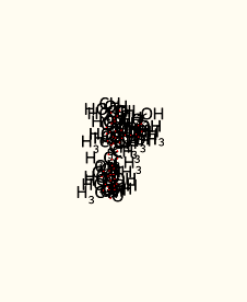 CCC(OC(O)C(O)C(OC(O)C(O)C(O)C(C)O)C(CC)OC(C)=O)/C(O)=C(\OC1OC(C)C(OC(O)/C(O)=C(\OC(O)/C(O)=C(\O)C(O)CCO)C(C)O)C(O)C1O)C(O)OC(=O)[C@]12CCC(C)(C)CC1C1=CCC3[C@@]4(C)CC[C@H](OC5OC(C(=O)O)C(O)C(OC(O)/C(O)=C(\O)C(C)O)C5OC5OC(CO)C(O)C(O)C5O)[C@@](C)(/C=N/NC(=O)CCCCCN5C(=O)C=CC5=O)C4CC[C@@]3(C)[C@]1(C)C[C@H]2O